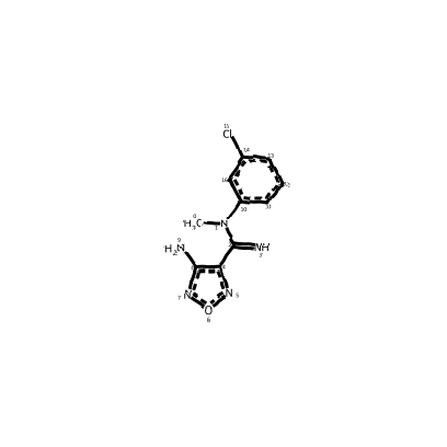 CN(C(=N)c1nonc1N)c1cccc(Cl)c1